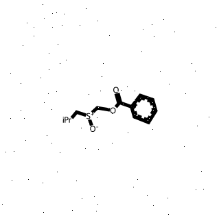 CC(C)C[S+]([O-])COC(=O)c1ccccc1